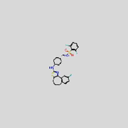 O=S(=O)(NC[C@H]1CC[C@H](Nc2nc3c(s2)CCCc2ccc(F)cc2-3)CC1)c1c(F)cccc1F